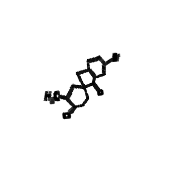 CC1CC2(CCC1=O)Cc1ccc(Br)cc1C2=O